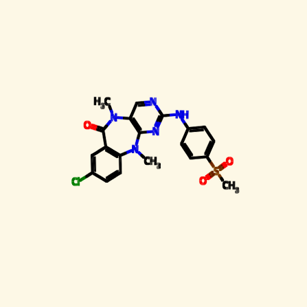 CN1C(=O)c2cc(Cl)ccc2N(C)c2nc(Nc3ccc(S(C)(=O)=O)cc3)ncc21